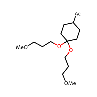 COCCCOC1(OCCCOC)CCC(C(C)=O)CC1